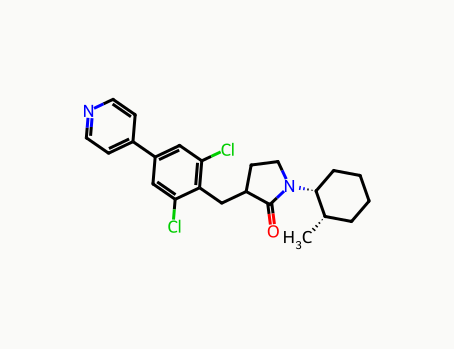 C[C@H]1CCCC[C@H]1N1CCC(Cc2c(Cl)cc(-c3ccncc3)cc2Cl)C1=O